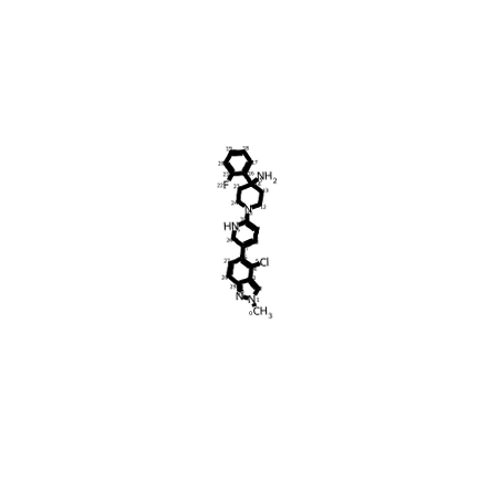 Cn1cc2c(Cl)c(C3=CC=C(N4CCC(N)(c5ccccc5F)CC4)NC3)ccc2n1